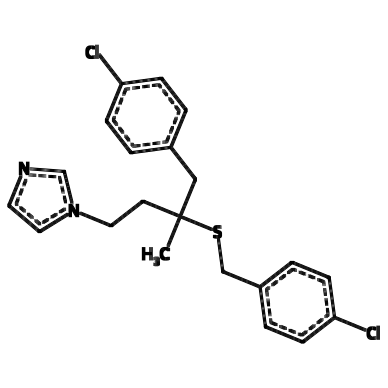 CC(CCn1ccnc1)(Cc1ccc(Cl)cc1)SCc1ccc(Cl)cc1